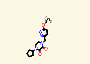 CCOc1ccc(CN2CCN(C3CCCC3)C(=O)C2=O)nn1